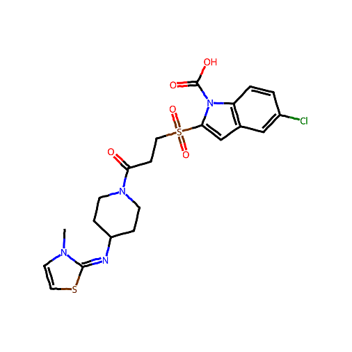 Cn1ccsc1=NC1CCN(C(=O)CCS(=O)(=O)c2cc3cc(Cl)ccc3n2C(=O)O)CC1